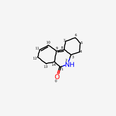 O=C1NC2CCCCC2=C2C=CCCC12